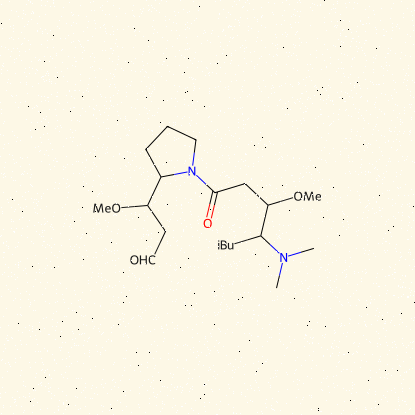 CCC(C)C(C(CC(=O)N1CCCC1C(CC=O)OC)OC)N(C)C